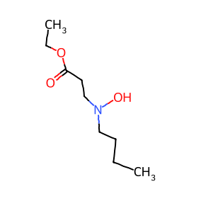 CCCCN(O)CCC(=O)OCC